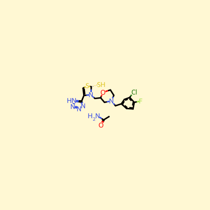 CC(N)=O.Fc1ccc(CN2CCOC(CN3C(c4nnn[nH]4)=CS[C@@H]3S)C2)cc1Cl